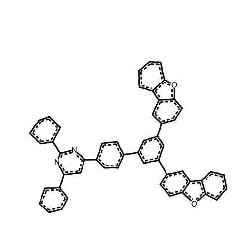 c1ccc(-c2cc(-c3ccc(-c4cc(-c5ccc6oc7ccccc7c6c5)cc(-c5ccc6oc7ccccc7c6c5)c4)cc3)nc(-c3ccccc3)n2)cc1